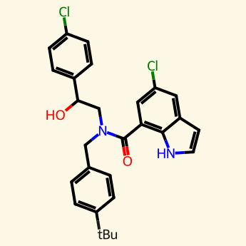 CC(C)(C)c1ccc(CN(CC(O)c2ccc(Cl)cc2)C(=O)c2cc(Cl)cc3cc[nH]c23)cc1